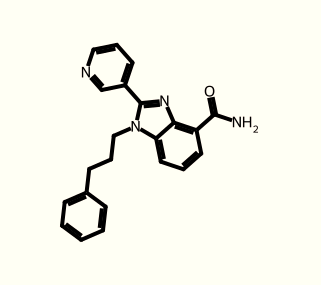 NC(=O)c1cccc2c1nc(-c1cccnc1)n2CCCc1ccccc1